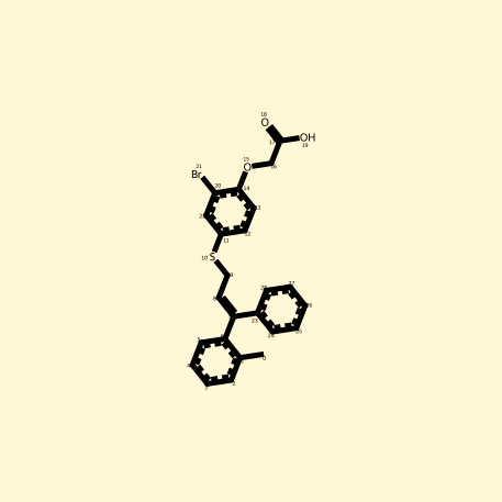 Cc1ccccc1C(=CCSc1ccc(OCC(=O)O)c(Br)c1)c1ccccc1